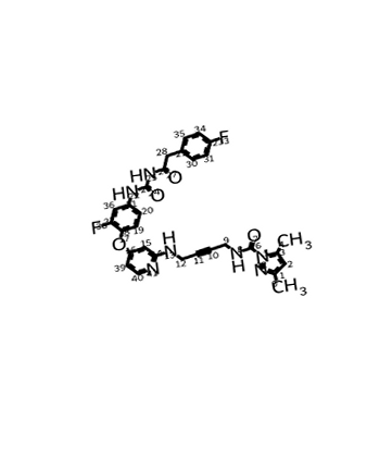 Cc1cc(C)n(C(=O)NCC#CCNc2cc(Oc3ccc(NC(=O)NC(=O)Cc4ccc(F)cc4)cc3F)ccn2)n1